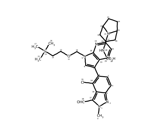 Cn1nc2ccc(-c3cn(COCC[Si](C)(C)C)c4nc(N5C6CCC5CC(NC(=O)O)C6)cnc34)c(Cl)c2c1C=O